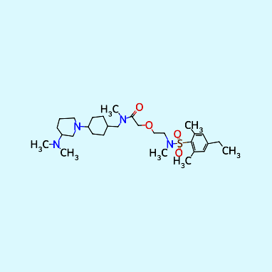 CCc1cc(C)c(S(=O)(=O)N(C)CCOCC(=O)N(C)CC2CCC(N3CCCC(N(C)C)C3)CC2)c(C)c1